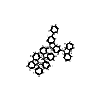 c1ccc(-c2ccc3c(c2)c2cc(-n4c5ccccc5c5ccccc54)ccc2n3-c2cccc([Si]3(c4ccccc4)c4ccccc4[Si](c4ccccc4)(c4ccccc4)c4ccccc43)c2)cc1